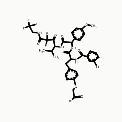 COc1ccc(C(NC(=O)C(Cc2ccc(OCC(=O)O)cc2)NC(=O)c2cccc(Cl)c2)C(=O)NC(C(=O)C(F)(F)C(=O)NCC(F)(F)F)C(C)C)cc1